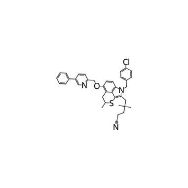 CC1Cc2c(OCc3ccc(-c4ccccc4)cn3)ccc3c2c(c(CC(C)(C)CCC#N)n3Cc2ccc(Cl)cc2)S1